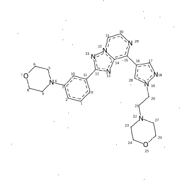 [c]1ccc(N2CCOCC2)cc1-c1nc2c(-c3cnn(CCN4CCOCC4)c3)nccn2n1